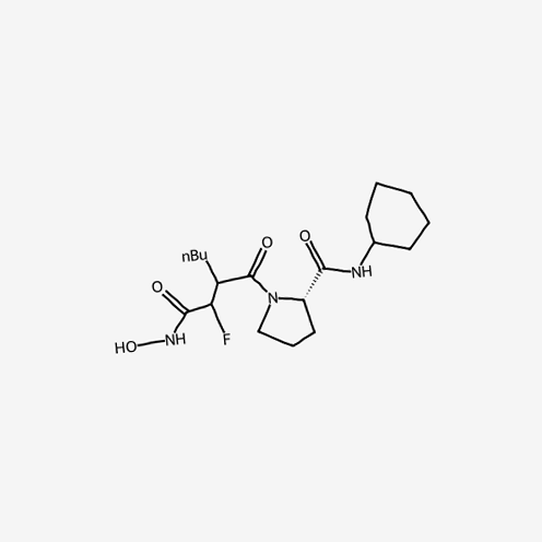 CCCCC(C(=O)N1CCC[C@H]1C(=O)NC1CCCCC1)C(F)C(=O)NO